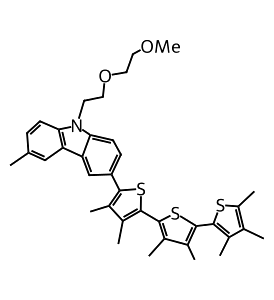 COCCOCCn1c2ccc(C)cc2c2cc(-c3sc(-c4sc(-c5sc(C)c(C)c5C)c(C)c4C)c(C)c3C)ccc21